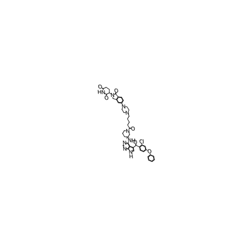 O=C1CCC(N2Cc3cc(N4CCN(CCCCC(=O)N5CCC[C@@H](Nc6ncnc7[nH]cc(C(=O)c8ccc(Oc9ccccc9)cc8Cl)c67)C5)CC4)ccc3C2=O)C(=O)N1